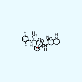 CC(Nc1cc(F)ccc1F)C(=O)N1C2CCC(C1C(=O)NC(C#N)CC1CCCNC1=O)C(F)(F)C2